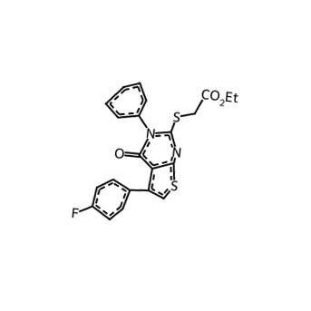 CCOC(=O)CSc1nc2scc(-c3ccc(F)cc3)c2c(=O)n1-c1ccccc1